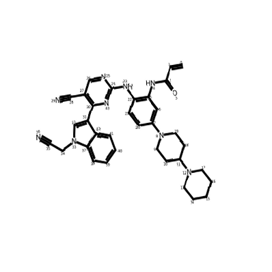 C=CC(=O)Nc1cc(N2CCC(N3CCCCC3)CC2)ccc1Nc1ncc(C#N)c(-c2cn(CC#N)c3ccccc23)n1